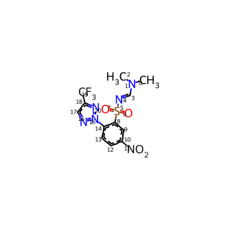 CN(C)/C=N/S(=O)(=O)c1cc([N+](=O)[O-])ccc1-n1ncc(C(F)(F)F)n1